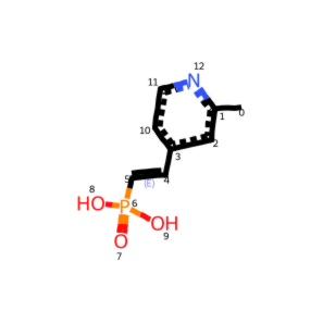 Cc1cc(/C=C/P(=O)(O)O)ccn1